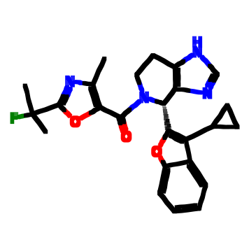 Cc1nc(C(C)(C)F)oc1C(=O)N1CCc2[nH]cnc2[C@@H]1c1oc2ccccc2c1C1CC1